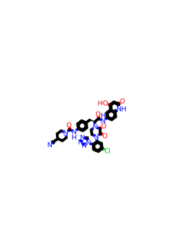 N#CC1CCN(C(=O)Nc2ccc(C[C@@H](C(=O)Nc3ccc4[nH]c(=O)cc(O)c4c3)N3CCN(c4cc(Cl)ccc4-n4cnnn4)C(=O)C3=O)cc2)CC1